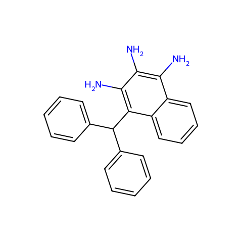 Nc1c(N)c(C(c2ccccc2)c2ccccc2)c2ccccc2c1N